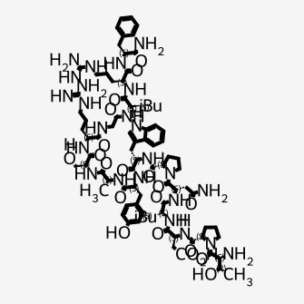 CC[C@H](C)[C@H](NC(=O)CNC(=O)[C@H](CCCNC(=N)N)NC(=O)[C@H](CO)NC(=O)[C@H](C)NC(=O)[C@H](Cc1ccc(O)cc1)NC(=O)[C@H](Cc1c[nH]c2ccccc12)NC(=O)[C@@H]1CCCN1C(=O)[C@H](CC(N)=O)NC(=O)[C@@H](NC(=O)[C@H](CC(=O)O)NC(=O)[C@@H]1CCCN1C(=O)[C@@H](N)[C@@H](C)O)[C@@H](C)CC)C(=O)N[C@@H](CCCNC(=N)N)C(=O)N[C@@H](Cc1ccccc1)C(N)=O